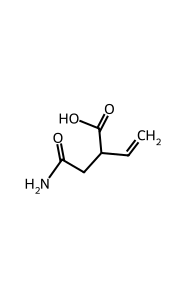 C=CC(CC(N)=O)C(=O)O